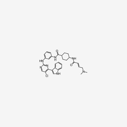 CN(C)C/C=C/C(=O)NC1CCC(C(=O)Nc2cccc(Nc3ncc(Cl)c(-c4c[nH]c5ccccc45)n3)c2)CC1